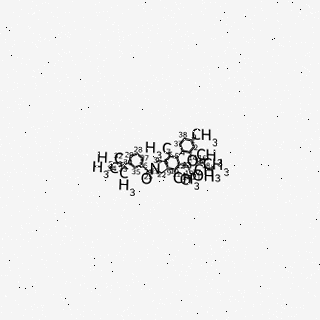 Cc1ccc(-c2c(C)c3c(c(C)c2[C@H](OC(C)(C)C)C(=O)O)CN(C(=O)c2cccc(C(C)(C)C)c2)C3)cc1